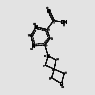 O=C(O)c1cc(N2CC3(COC3)C2)ncn1